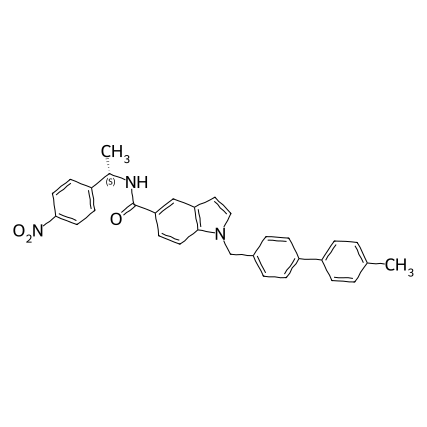 Cc1ccc(-c2ccc(Cn3ccc4cc(C(=O)N[C@@H](C)c5ccc([N+](=O)[O-])cc5)ccc43)cc2)cc1